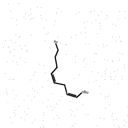 CCCC/C=C\C/C=C\CCCC(C)=O